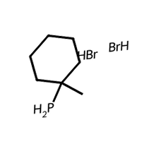 Br.Br.CC1(P)CCCCC1